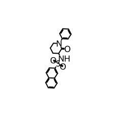 O=C1C(NS(=O)(=O)c2ccc3ccccc3c2)CCCN1c1ccccc1